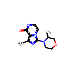 Cc1nc(N2CCOCC2C)n2cc[nH]c(=O)c12